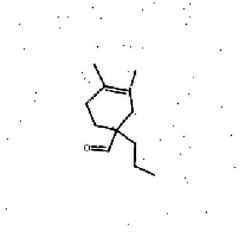 CCCC1(C=O)CCC(C)=C(C)C1